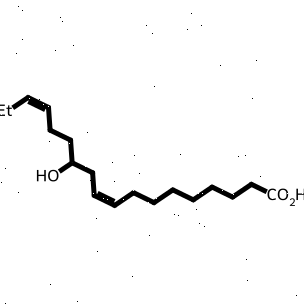 CC/C=C\CCC(O)C/C=C\CCCCCCCC(=O)O